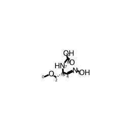 COC[C@@H](C=NO)NC(=O)O